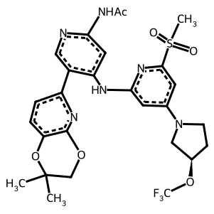 CC(=O)Nc1cc(Nc2cc(N3CC[C@@H](OC(F)(F)F)C3)cc(S(C)(=O)=O)n2)c(-c2ccc3c(n2)OCC(C)(C)O3)cn1